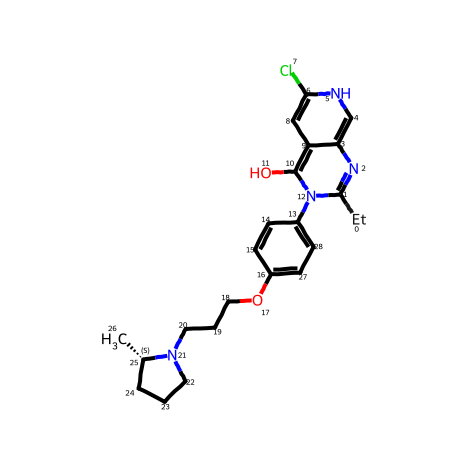 CCC1=NC2=CNC(Cl)=CC2=C(O)N1c1ccc(OCCCN2CCC[C@@H]2C)cc1